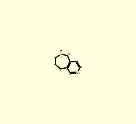 c1cc2c(cn1)CCCNC2